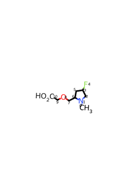 CN1CC(F)CC1COCC(=O)O